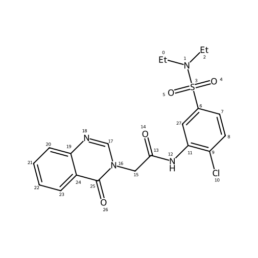 CCN(CC)S(=O)(=O)c1ccc(Cl)c(NC(=O)Cn2cnc3ccccc3c2=O)c1